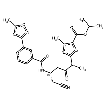 Cc1nc(-c2cccc(C(=O)N[C@@H](CC#N)CC(=O)N(C)c3nc(C)c(C(=O)OC(C)C)s3)c2)no1